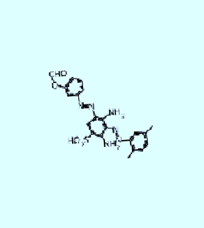 Cc1ccc(C)c(/N=N/c2c(N)c(/N=N/c3cccc(OC=O)c3)cc(S(=O)(=O)O)c2N)c1